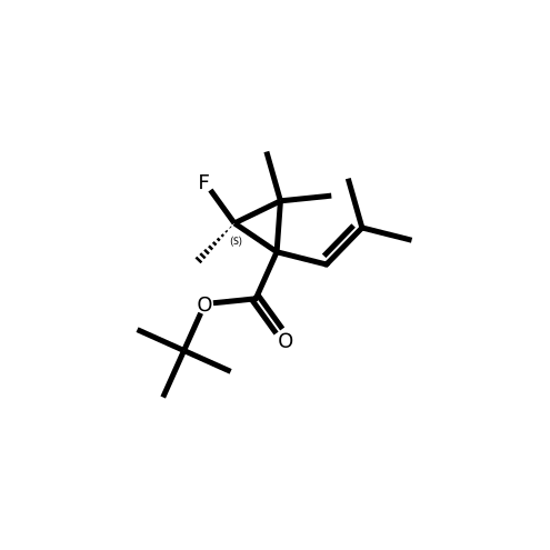 CC(C)=CC1(C(=O)OC(C)(C)C)C(C)(C)[C@]1(C)F